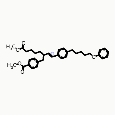 COC(=O)CCCCC(/C=C/c1ccc(CCCCCOc2ccccc2)cc1)Cc1ccc(C(=O)OC)cc1